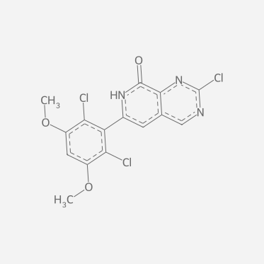 COc1cc(OC)c(Cl)c(-c2cc3cnc(Cl)nc3c(=O)[nH]2)c1Cl